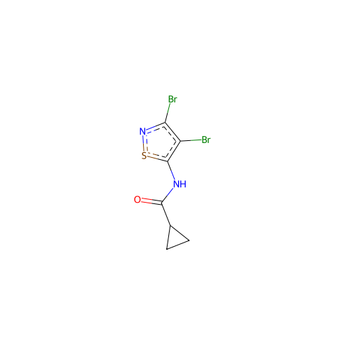 O=C(Nc1snc(Br)c1Br)C1CC1